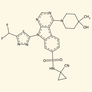 CC1(O)CCN(c2ncnc3c2c2ccc(S(=O)(=O)NC4(C#N)CC4)cc2n3-c2nnc(C(F)F)s2)CC1